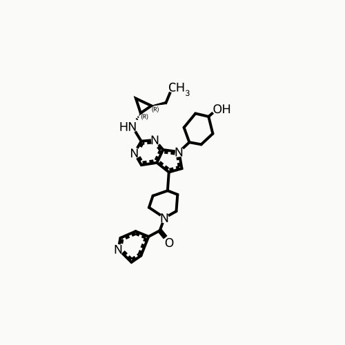 CC[C@@H]1C[C@H]1Nc1ncc2c(C3CCN(C(=O)c4ccncc4)CC3)cn(C3CCC(O)CC3)c2n1